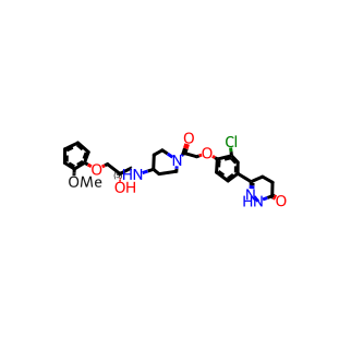 COc1ccccc1OC[C@@H](O)CNC1CCN(C(=O)COc2ccc(C3=NNC(=O)CC3)cc2Cl)CC1